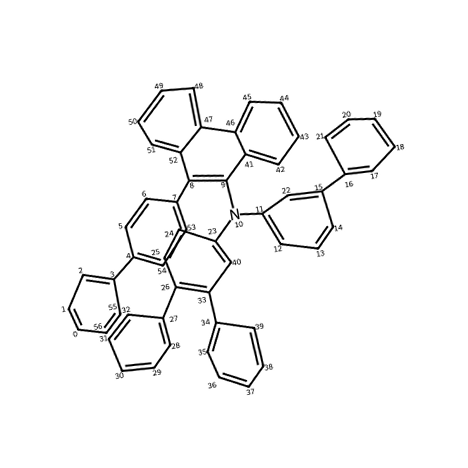 c1ccc(-c2ccc(-c3c(N(c4cccc(-c5ccccc5)c4)c4ccc(-c5ccccc5)c(-c5ccccc5)c4)c4ccccc4c4ccccc34)cc2)cc1